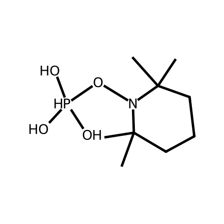 CC1(C)CCCC(C)(C)N1O[PH](O)(O)O